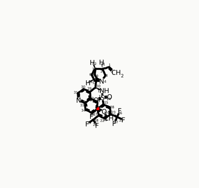 C=C[C@H]1CN2CC[C@H]1C[C@H]2[C@@H](NS(=O)(=O)c1cc(C(F)(F)F)cc(C(F)(F)F)c1)c1ccnc2ccc(OC)cc12